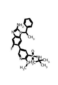 COc1ncc(-c2cc3c(cc2F)nc(N)n3C(C)c2ccccc2)cc1S(=O)(=O)NC(C)(C)C